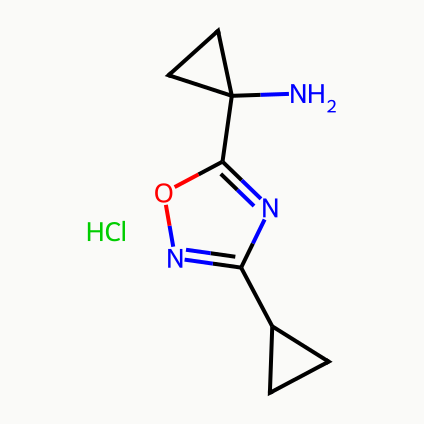 Cl.NC1(c2nc(C3CC3)no2)CC1